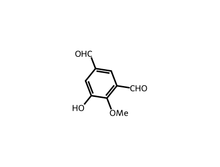 COc1c(O)cc(C=O)cc1C=O